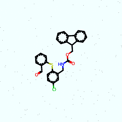 O=Cc1ccccc1Sc1ccc(Cl)cc1CNC(=O)OCC1c2ccccc2-c2ccccc21